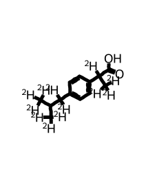 [2H]C([2H])([2H])C(C([2H])([2H])[2H])C([2H])([2H])c1ccc(C([2H])(C(=O)O)C([2H])([2H])[2H])cc1